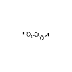 N#Cc1cccc(-c2cccc(OC3CCNCC3)c2)c1